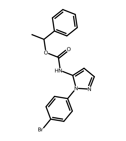 CC(OC(=O)Nc1ccnn1-c1ccc(Br)cc1)c1ccccc1